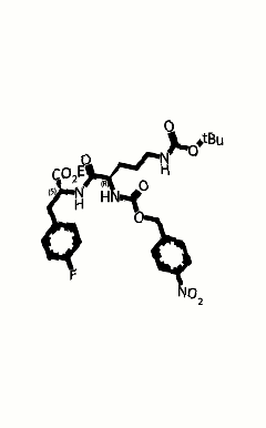 CCOC(=O)[C@H](Cc1ccc(F)cc1)NC(=O)[C@@H](CCCNC(=O)OC(C)(C)C)NC(=O)OCc1ccc([N+](=O)[O-])cc1